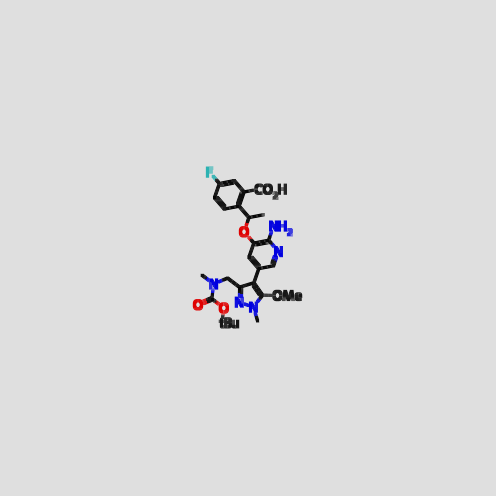 COc1c(-c2cnc(N)c(OC(C)c3ccc(F)cc3C(=O)O)c2)c(CN(C)C(=O)OC(C)(C)C)nn1C